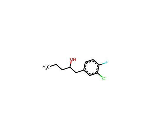 CCCC(O)Cc1ccc(F)c(Cl)c1